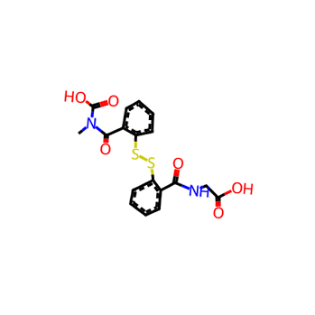 CN(C(=O)O)C(=O)c1ccccc1SSc1ccccc1C(=O)NCC(=O)O